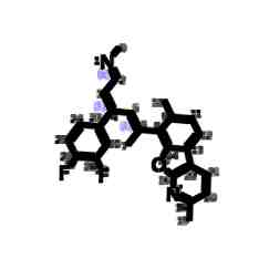 C/N=C/C=C(\C=C(/C)c1c(C)ccc2c1oc1nc(C)ccc12)c1ccc(F)c(F)c1